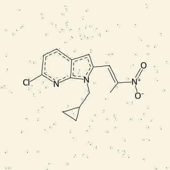 CC(=Cc1cc2ccc(Cl)nc2n1CC1CC1)[N+](=O)[O-]